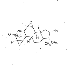 CC(=O)O[C@H]1[C@@H](C(C)C)C[C@H]2[C@@H]3C4=C(O4)C4=CC(=O)[C@@H]5CC5[C@]4(C)[C@H]3CC[C@@]21C